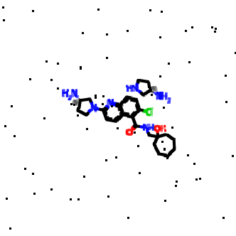 N[C@H]1CCN(c2ccc3c(C(=O)NCC4(O)CCCCCC4)c(Cl)ccc3n2)C1.N[C@H]1CCNC1